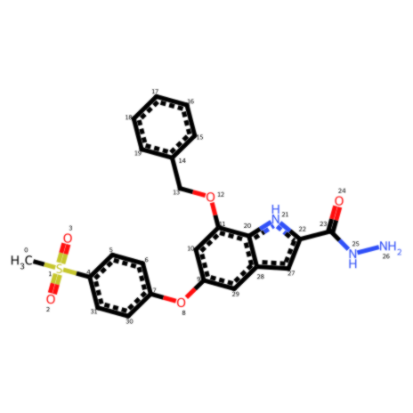 CS(=O)(=O)c1ccc(Oc2cc(OCc3ccccc3)c3[nH]c(C(=O)NN)cc3c2)cc1